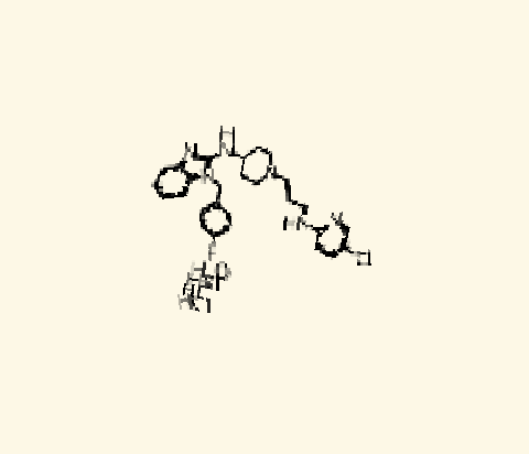 Cl.Cl.Cl.Fc1ccc(Cn2c(NC3CCN(CCCNc4ccc(Cl)cn4)CC3)nc3ccccc32)cc1.O